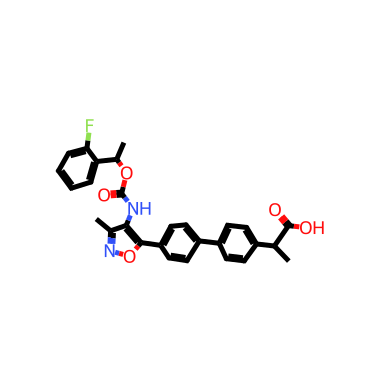 Cc1noc(-c2ccc(-c3ccc(C(C)C(=O)O)cc3)cc2)c1NC(=O)OC(C)c1ccccc1F